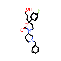 O=C1OC(CCCO)(c2ccc(F)cc2)CCN1C1CCCN(Cc2ccccc2)C1